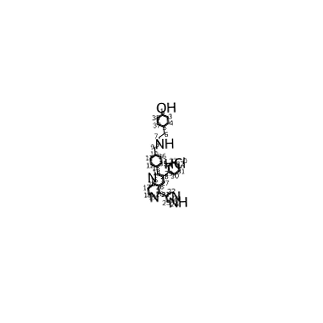 Cl.Oc1ccc(CCNCc2ccc(-c3nc4ccnc(-c5cn[nH]c5)c4cc3-c3ccccc3)cc2)cc1